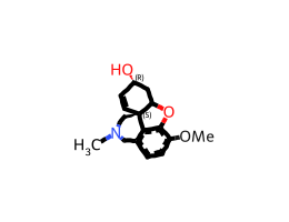 COc1ccc2c3c1OC1C[C@@H](O)C=C[C@@]31CCN(C)C2